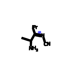 CC(C)/C(=N/C#N)C(C)N